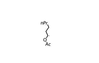 CCCCC[CH]OC(C)=O